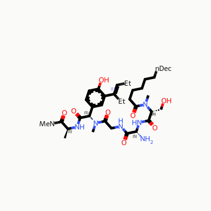 CC/C=C(\CC)c1cc([C@@H](C(=O)N[C@@H](C)C(=O)NC)N(C)C(=O)CNC(=O)[C@@H](N)NC(=O)[C@@H](CO)N(C)C(=O)CCCCCCCCCCCCCCC)ccc1O